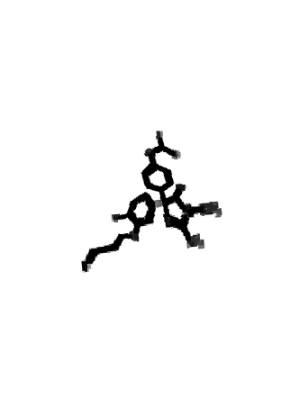 CN1C(=O)[C@](c2ccc(F)c(OCCCF)c2)(C2C=CC(OC(F)F)=CC2)N=C1N